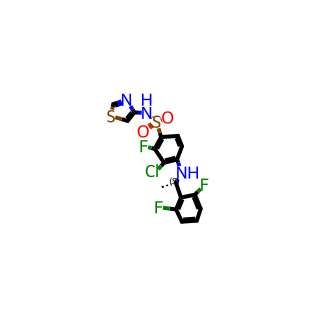 C[C@H](Nc1ccc(S(=O)(=O)Nc2cscn2)c(F)c1Cl)c1c(F)cccc1F